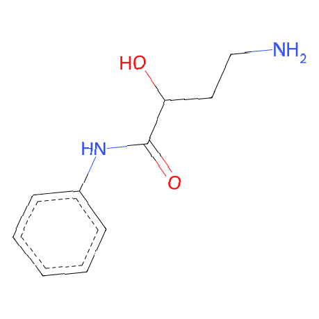 NCCC(O)C(=O)Nc1ccccc1